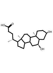 C[C@H](CCC(=O)O)C1CCC2C3C[C@H](O)C4C[C@H](O)CC[C@]4(C)C3CC[C@@]21C